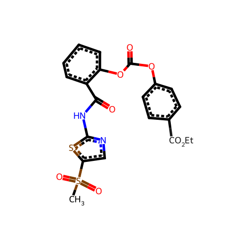 CCOC(=O)c1ccc(OC(=O)Oc2ccccc2C(=O)Nc2ncc(S(C)(=O)=O)s2)cc1